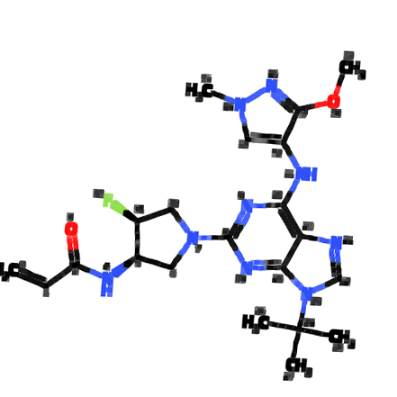 C=CC(=O)N[C@@H]1CN(c2nc(Nc3cn(C)nc3OC)c3ncn(C(C)(C)C)c3n2)C[C@@H]1F